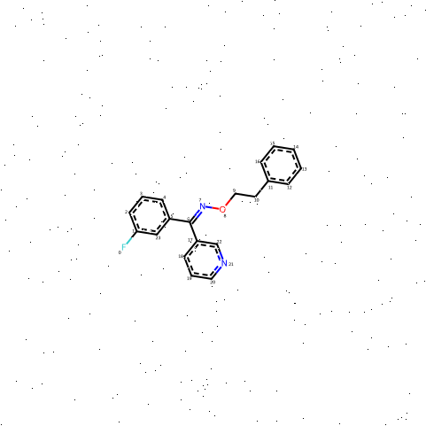 Fc1cccc(C(=NOCCc2ccccc2)c2cccnc2)c1